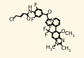 COc1c(-c2cccn3c(C(=O)c4cc(F)c(NC(=O)/C=C/CCl)c(F)c4)ccc23)c(C(F)(F)F)cc2c1nc(C)n2C